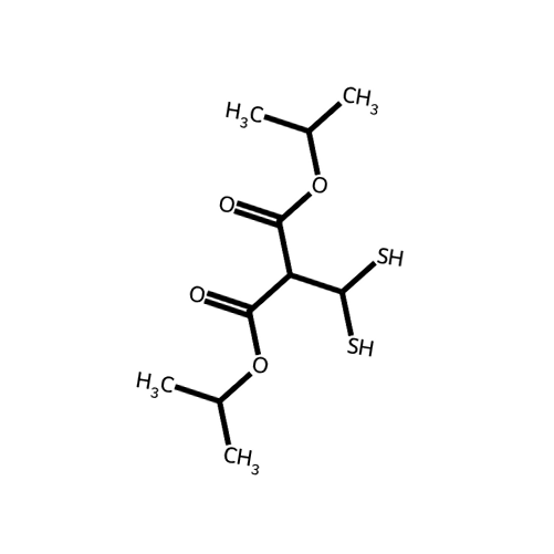 CC(C)OC(=O)C(C(=O)OC(C)C)C(S)S